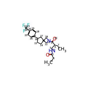 CCC(=O)NCC(CC)C(=O)N1CC2(CCC(c3ccc(C(F)(F)F)cc3)C2)C1